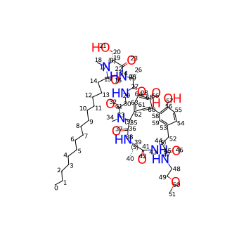 CCCCCCCCCCCCCCCC(=O)N(C)[C@H](CO)C(=O)N[C@H](C)C(=O)NCC(=O)N(C)[C@@H]1C(=O)N[C@@H](C)C(=O)N[C@H](C(=O)NCCOC)Cc2ccc(O)c(c2)-c2cc1ccc2O